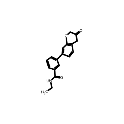 CCNC(=O)c1cccc(-c2ccc3c(c2)OCC(=O)C3)c1